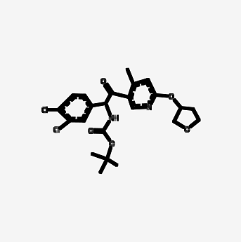 Cc1cc(OC2CCOC2)ncc1C(=O)C(NC(=O)OC(C)(C)C)c1ccc(Cl)c(Cl)c1